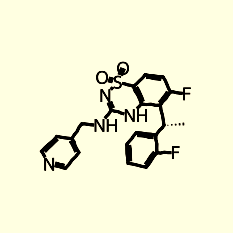 C[C@H](c1ccccc1F)c1c(F)ccc2c1NC(NCc1ccncc1)=NS2(=O)=O